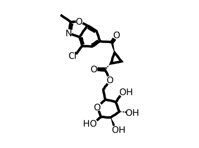 Cc1nc2c(Cl)cc(C(=O)[C@H]3C[C@@H]3C(=O)OCC3OC(O)[C@H](O)[C@@H](O)C3O)cc2o1